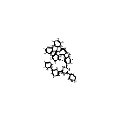 c1ccc(-c2cccc(-c3nc(-c4ccccc4)nc(-c4ccc5sc6ccc(C7(c8ccccc8)c8ccccc8-c8ccccc87)cc6c5c4)n3)c2)cc1